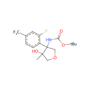 CC(C)(C)OC(=O)NC1(c2ccc(C(F)(F)F)cc2F)COCC1(C)O